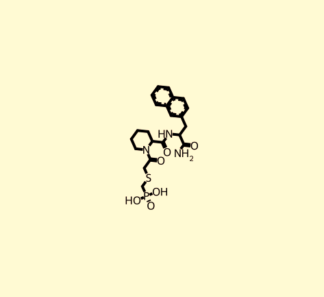 NC(=O)C(Cc1ccc2ccccc2c1)NC(=O)C1CCCCN1C(=O)CSCP(=O)(O)O